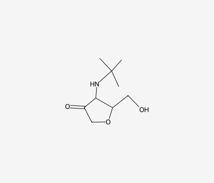 CC(C)(C)NC1C(=O)COC1CO